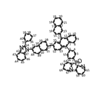 O=P(c1ccc(-c2c3ccccc3c(-c3ccc4ccccc4c3)c3cc(-c4ccc5cc(-n6c(-c7ccccc7)nc7ccccc76)ccc5c4)ccc23)cc1)(c1ccccn1)c1ccccn1